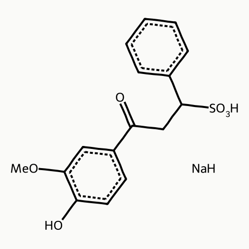 COc1cc(C(=O)CC(c2ccccc2)S(=O)(=O)O)ccc1O.[NaH]